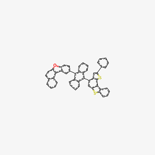 c1ccc(-c2cc3c(-c4c5ccccc5c(-c5ccc6oc7ccc8ccccc8c7c6c5)c5ccccc45)cc4sc5ccccc5c4c3s2)cc1